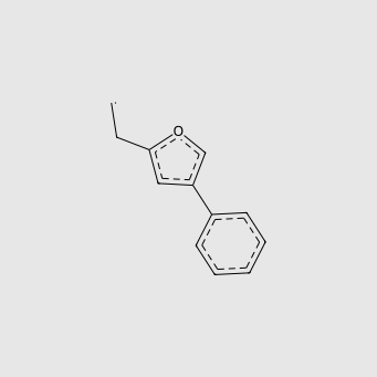 [CH2]Cc1cc(-c2ccccc2)co1